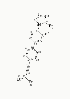 C=C/C(=C\C(=C)Cn1ccnc1CC)c1ccc(C#CC(CC)CC)cc1